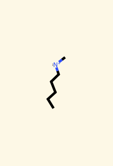 CCCCC[N+]C